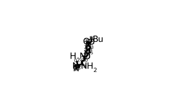 Cc1nn(C)cc1/C(N)=C/C=C(\N)OC1CC2CN(C(=O)OC(C)(C)C)CC2C1